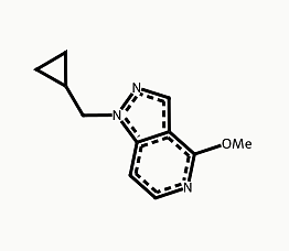 COc1nccc2c1cnn2CC1CC1